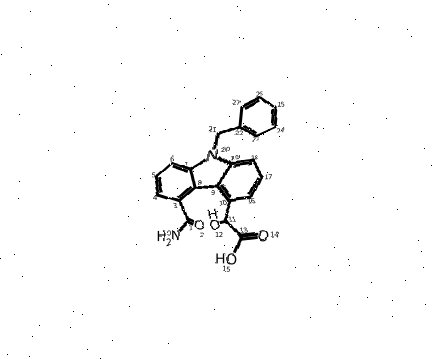 NC(=O)c1cccc2c1c1c(C(O)C(=O)O)cccc1n2Cc1ccccc1